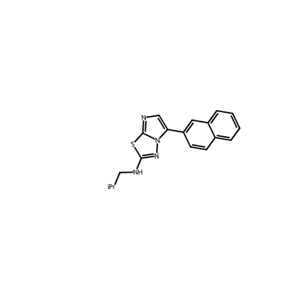 CC(C)CNc1nn2c(-c3ccc4ccccc4c3)cnc2s1